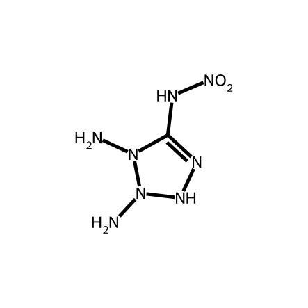 NN1NN=C(N[N+](=O)[O-])N1N